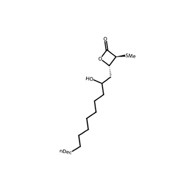 CCCCCCCCCCCCCCCCCC(O)C[C@@H]1OC(=O)[C@H]1SC